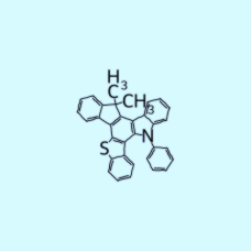 CC1(C)c2ccccc2-c2c1c1c3ccccc3n(-c3ccccc3)c1c1c2sc2ccccc21